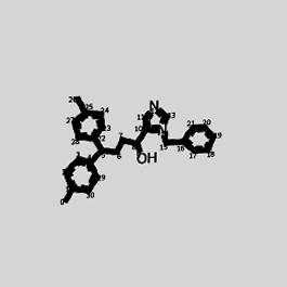 Cc1ccc(C(CCC(O)c2cncn2Cc2ccccc2)c2ccc(C)cc2)cc1